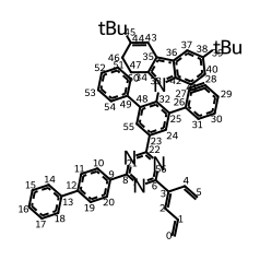 C=C/C=C(\C=C)c1nc(-c2ccc(-c3ccccc3)cc2)nc(-c2cc(-c3c#cccc3)c(-n3c4c(c5cc(C(C)(C)C)ccc53)C=C(C(C)(C)C)CC4)c(-c3ccccc3)c2)n1